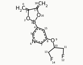 C=C1OB(c2cncc(OC(CF)CF)c2)OC1=C